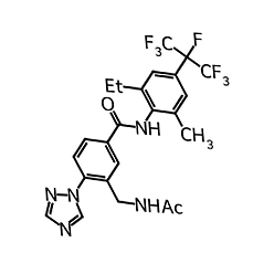 CCc1cc(C(F)(C(F)(F)F)C(F)(F)F)cc(C)c1NC(=O)c1ccc(-n2cncn2)c(CNC(C)=O)c1